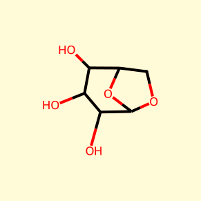 OC1C2COC(O2)C(O)C1O